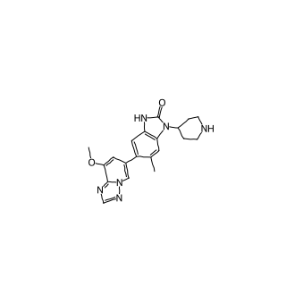 COc1cc(-c2cc3[nH]c(=O)n(C4CCNCC4)c3cc2C)cn2ncnc12